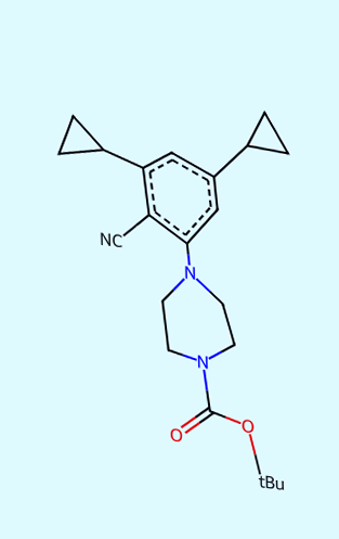 CC(C)(C)OC(=O)N1CCN(c2cc(C3CC3)cc(C3CC3)c2C#N)CC1